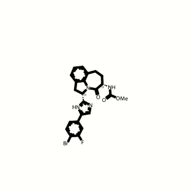 COC(=O)N[C@H]1CCc2cccc3c2N(C1=O)[C@H](c1ncc(-c2ccc(Br)c(F)c2)[nH]1)C3